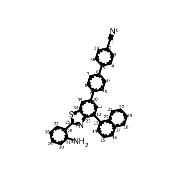 N#Cc1ccc(-c2ccc(-c3cc(-c4cccc5ccccc45)c4nc(-c5ccccc5N)sc4c3)cc2)cc1